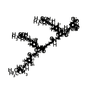 CC(C)(C)OC(=O)NCCNc1c(I)cc(C(=O)NCCCC[C@H](NC(=O)c2cc(I)c(NCCNC(=O)OC(C)(C)C)c(I)c2)C(=O)NCCCCCC(=O)NCCCCC(C(=O)NCCNc2ccc([N+](=O)[O-])c3nonc23)N(N)C(=O)c2cc(I)c(NCCNC(=O)OC(C)(C)C)c(I)c2)cc1I